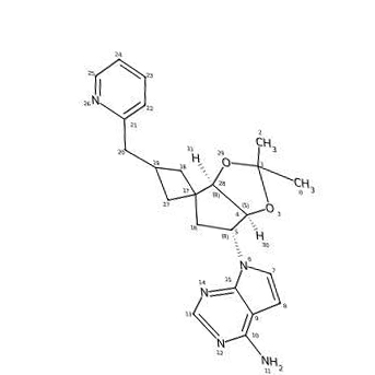 CC1(C)O[C@H]2[C@H](n3ccc4c(N)ncnc43)CC3(CC(Cc4ccccn4)C3)[C@H]2O1